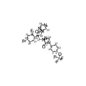 O=c1n(-c2ccc(OC(F)(F)F)cc2)cnn1C[C@](O)(Cn1cncn1)c1ccc(F)cc1F